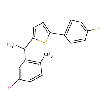 Cc1ccc(I)cc1C(C)c1ccc(-c2ccc(F)cc2)s1